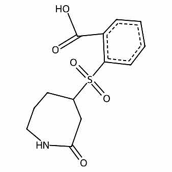 O=C1CC(S(=O)(=O)c2ccccc2C(=O)O)CCCN1